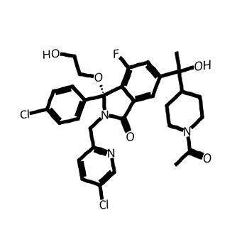 CC(=O)N1CCC(C(C)(O)c2cc(F)c3c(c2)C(=O)N(Cc2ccc(Cl)cn2)[C@@]3(OCCO)c2ccc(Cl)cc2)CC1